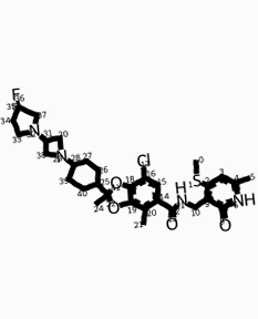 CSc1cc(C)[nH]c(=O)c1CNC(=O)c1cc(Cl)c2c(c1C)OC(C)(C1CCC(N3CC(N4CC[C@@H](F)C4)C3)CC1)O2